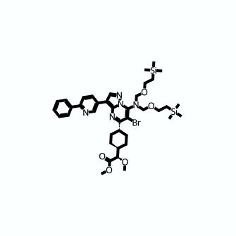 COC(=O)[C@H](OC)[C@H]1CC[C@H](c2nc3c(-c4ccc(-c5ccccc5)nc4)cnn3c(N(COCC[Si](C)(C)C)COCC[Si](C)(C)C)c2Br)CC1